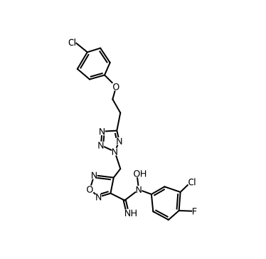 N=C(c1nonc1Cn1nnc(CCOc2ccc(Cl)cc2)n1)N(O)c1ccc(F)c(Cl)c1